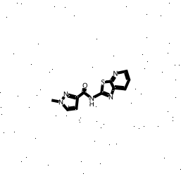 Cn1ccc(C(=O)Nc2nc3cccnc3s2)n1